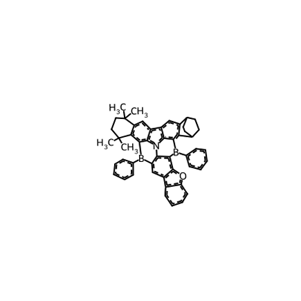 CC1(C)CCC(C)(C)c2c1cc1c3cc4c(c5c3n3c1c2B(c1ccccc1)c1cc2c(oc6ccccc62)c(c1-3)B5c1ccccc1)C1CCC4CC1